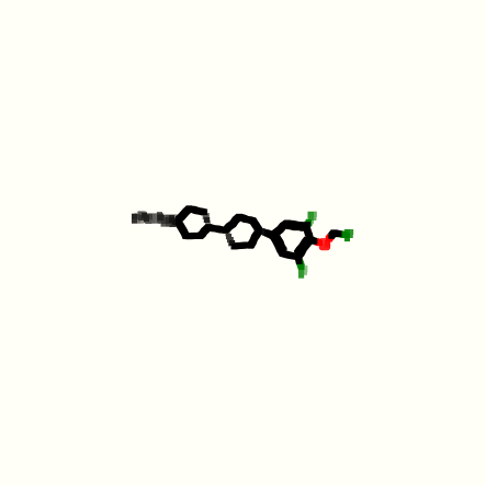 CCCCC[Si@H]1CC[C@H]([C@H]2CC[C@H](c3cc(F)c(OCF)c(F)c3)CC2)CC1